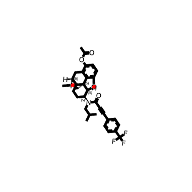 CC(=O)Oc1ccc2c3c1C[C@@H]1[C@@H]4CC[C@H](N(CC(C)C)C(=O)C#Cc5ccc(C(F)(F)F)cc5)[C@H](O2)[C@]34CCN1C